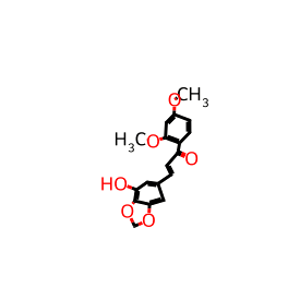 COc1ccc(C(=O)/C=C/c2cc(O)c3c(c2)OCO3)c(OC)c1